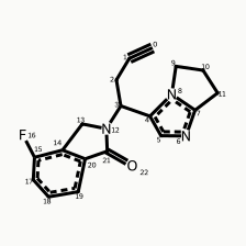 C#CCC(c1cnc2n1CCC2)N1Cc2c(F)cccc2C1=O